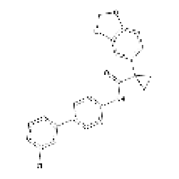 O=C(Nc1ccc(-c2cccc(Cl)c2)cn1)C1(c2ccc3c(c2)OCO3)CC1